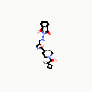 CC1(C(=O)N2CCC(c3ncc(CNN4C(=O)c5ccccc5C4=O)o3)CC2)CCC1